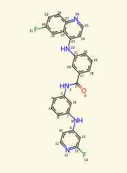 O=C(Nc1cccc(Nc2ccnc(F)c2)c1)c1cccc(Nc2ccnc3ccc(F)cc23)c1